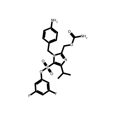 CC(C)c1nc(COC(N)=O)n(Cc2ccc(N)cc2)c1S(=O)(=O)Oc1cc(F)cc(F)c1